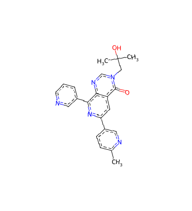 Cc1ccc(-c2cc3c(=O)n(CC(C)(C)O)cnc3c(-c3cccnc3)n2)cn1